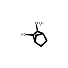 O=C(O)C1C2CCC(C2)C1O